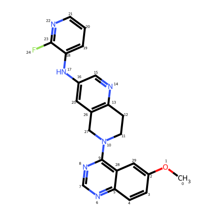 COc1ccc2ncnc(N3CCc4ncc(Nc5cccnc5F)cc4C3)c2c1